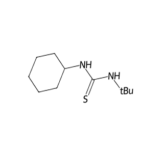 CC(C)(C)NC(=S)NC1CCCCC1